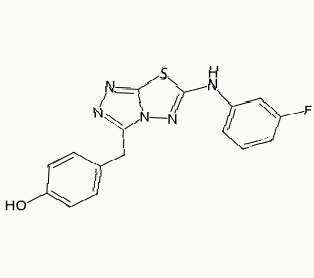 Oc1ccc(Cc2nnc3sc(Nc4cccc(F)c4)nn23)cc1